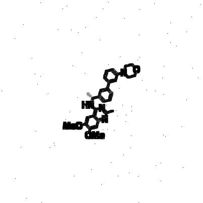 COc1cc2nc(C)nc(N[C@H](C)c3cccc(-c4cccc(N5CCOCC5)c4)c3)c2cc1OC